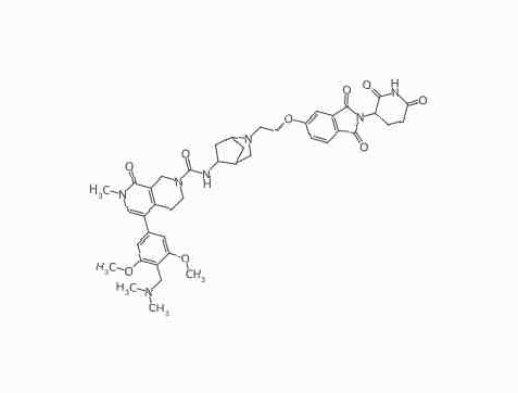 COc1cc(-c2cn(C)c(=O)c3c2CCN(C(=O)NC2CC4CC2CN4CCOc2ccc4c(c2)C(=O)N(C2CCC(=O)NC2=O)C4=O)C3)cc(OC)c1CN(C)C